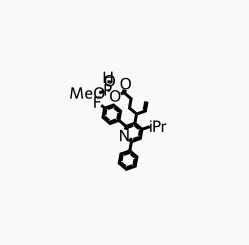 C=CC(CCC(=O)O[PH](=O)OC)c1c(C(C)C)cc(-c2ccccc2)nc1-c1ccc(F)cc1